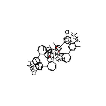 CC1=CC2=C(C=CC=CC2c2cc(C)c([Si](C)(C)C)c(Cl)c2)[C]12[GeH]([CH3])[C]1(C(C)=CC3=C1C=CC=CC3c1cc(C)c([Si](C)(C)C)c(Cl)c1)[Hf]21([Cl])([Cl])[C]2(C(C)=CC3=C2C=CC=CC3c2cc(C)c([Si](C)(C)C)c(Cl)c2)[GeH]([CH3])[C]12C(C)=CC1=C2C=CC=CC1c1cc(C)c([Si](C)(C)C)c(Cl)c1